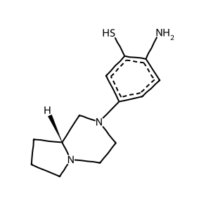 Nc1ccc(N2CCN3CCC[C@@H]3C2)cc1S